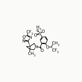 C[C@@H](Oc1ccc(S(C)(=O)=O)cc1C(=O)N1CC2(C)C[C@]2(c2noc(C(F)(F)F)n2)C1)C(F)(F)F